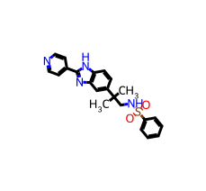 CC(C)(CNS(=O)(=O)c1ccccc1)c1ccc2[nH]c(-c3ccncc3)nc2c1